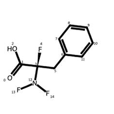 O=C(O)[C@](F)(Cc1ccccc1)N(F)F